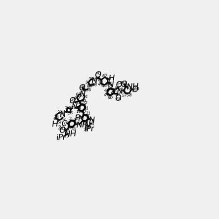 Cc1cc(F)c(Nc2nc(-c3ccc4c(c3)N(C3CC(N5CCCCC5)C3)C(=O)C43CCN(C(=O)C[C@@H]4CCN(C(=O)C5CCC(Nc6cccc7c6C(=O)N(C6CCC(=O)NC6=O)C7=O)CC5)C4)CC3)cc3ncn(C(C)C)c23)cc1C(=O)NC(C)C